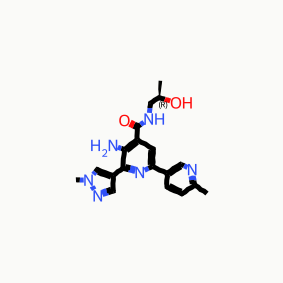 Cc1ccc(-c2cc(C(=O)NC[C@@H](C)O)c(N)c(-c3cnn(C)c3)n2)cn1